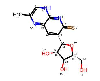 Cc1c[nH]c2nc(=S)c([C@@H]3O[C@H](CO)C(O)[C@@H]3O)cc-2n1